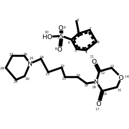 Cc1ccccc1S(=O)(=O)O.O=C1COCC(=O)N1CCCCCCN1CCCCC1